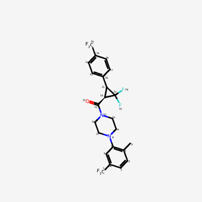 Cc1ccc(C(F)(F)F)cc1N1CCN(C(=O)[C@H]2C(c3ccc(C(F)(F)F)cc3)C2(F)F)CC1